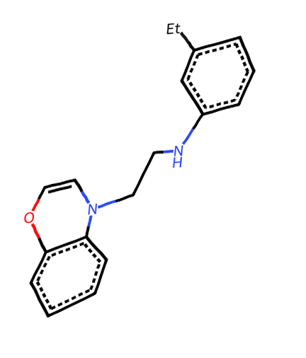 CCc1cccc(NCCN2C=COc3ccccc32)c1